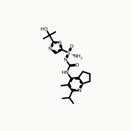 Cc1c(C(C)C)nc2c(c1NC(=O)N=[S@](N)(=O)c1cnc(C(C)(C)O)s1)CCC2